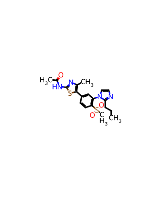 CCCc1nccn1-c1cc(-c2sc(NC(C)=O)nc2C)ccc1S(C)(=O)=O